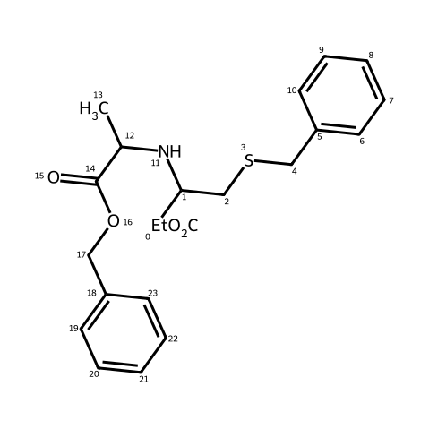 CCOC(=O)C(CSCc1ccccc1)NC(C)C(=O)OCc1ccccc1